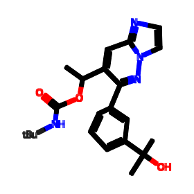 CC(OC(=O)NC(C)(C)C)c1cc2nccn2nc1-c1cccc(C(C)(C)O)c1